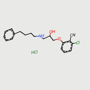 Cl.N#Cc1c(Cl)cccc1OCC(O)CNCCCCc1ccccc1